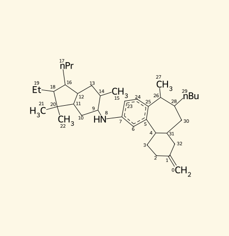 C=C1CCC2c3cc(NC4CC5C(CC4C)C(CCC)C(CC)C5(C)C)ccc3C(C)C(CCCC)CC2C1